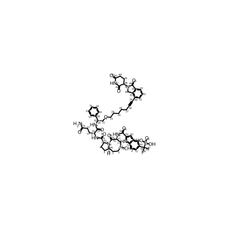 CN1CC[C@H]2CC[C@@H](C(=O)N[C@@H](CCC(N)=O)C(=O)N[C@H](COCCCCCC#Cc3cccc4c3CN(C3CCC(=O)NC3=O)C4=O)c3ccccc3)N2C(=O)[C@@H](NC(=O)c2cc3cc(C(F)(F)P(=O)(O)O)ccc3[nH]2)C1